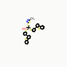 Cc1nnc(SCC(CO)(CSc2cccc(-c3cccc4c3sc3ccccc34)c2)CSc2cccc(-c3cccc4c3sc3ccccc34)c2)s1